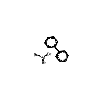 [Br][Al]([Br])[Br].c1ccc(-c2ccccc2)cc1